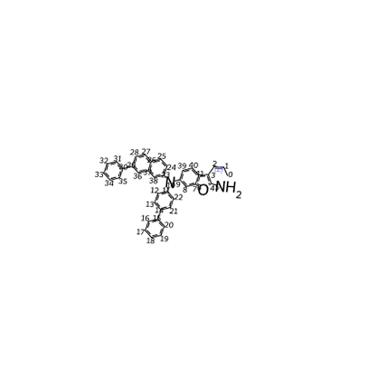 C/C=C\c1c(N)oc2cc(N(c3ccc(-c4ccccc4)cc3)c3ccc4ccc(-c5ccccc5)cc4c3)ccc12